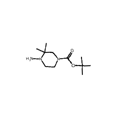 CC(C)(C)OC(=O)N1CCN(N)C(C)(C)C1